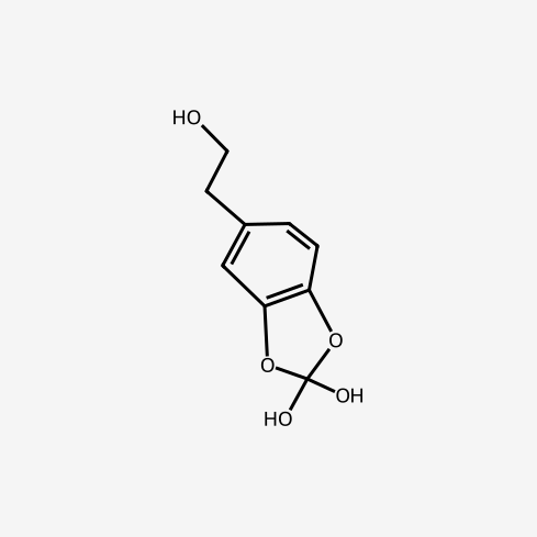 OCCc1ccc2c(c1)OC(O)(O)O2